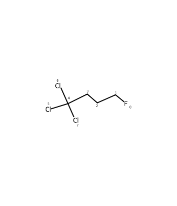 FCCCC(Cl)(Cl)Cl